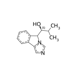 CC(C)[C@H](O)C1c2ccccc2-c2cncn21